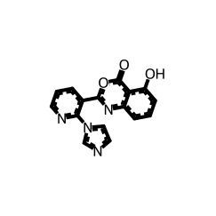 O=c1oc(-c2cccnc2-n2ccnc2)nc2cccc(O)c12